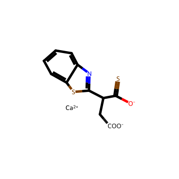 O=C([O-])CC(C([O-])=S)c1nc2ccccc2s1.[Ca+2]